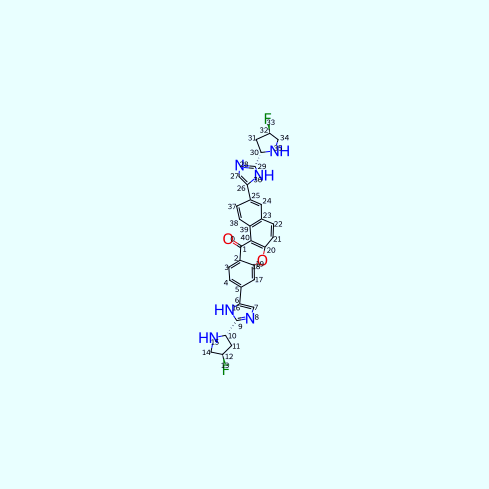 O=c1c2ccc(-c3cnc([C@@H]4C[C@@H](F)CN4)[nH]3)cc2oc2ccc3cc(-c4cnc([C@@H]5C[C@@H](F)CN5)[nH]4)ccc3c12